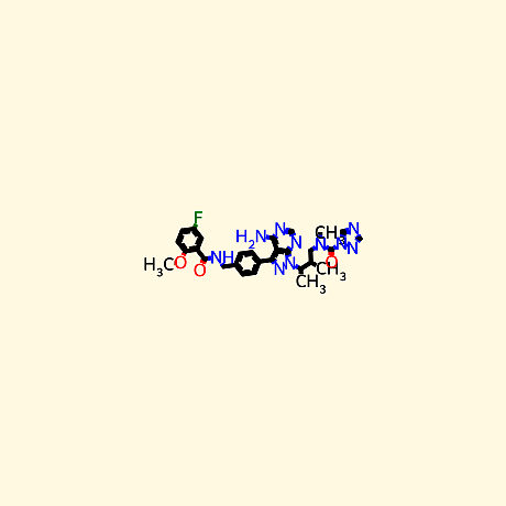 COc1ccc(F)cc1C(=O)NCc1ccc(-c2nn(C(C)C(C)CN(C)C(=O)n3cncn3)c3ncnc(N)c23)cc1